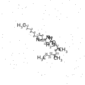 CCCCCCCc1ccc(-c2ccc(O[SiH2]CC(C)CCC(C)CCCC)nn2)cn1